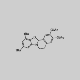 COc1cc2c(cc1OC)C1Oc3c(cc(C(C)(C)C)cc3C(C)(C)C)N1CC2